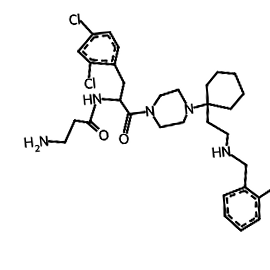 NCCC(=O)NC(Cc1ccc(Cl)cc1Cl)C(=O)N1CCN(C2(CCNCc3ccccc3F)CCCCC2)CC1